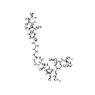 COc1cc(-c2cn(C)c(=O)c3cc(C(=O)NC4CCCN(CCCCCOc5ccc6c(c5)C(O)N(C5CCC(=O)NC5=O)C6=O)CC4)sc23)cc(OC)c1CN(C)C